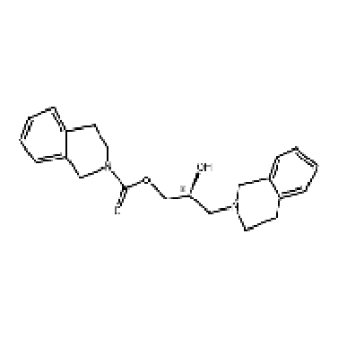 O=C(OC[C@@H](O)CN1CCc2ccccc2C1)N1CCc2ccccc2C1